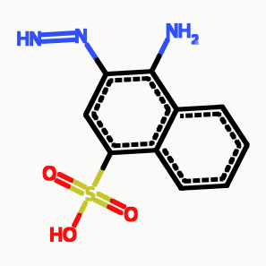 N=Nc1cc(S(=O)(=O)O)c2ccccc2c1N